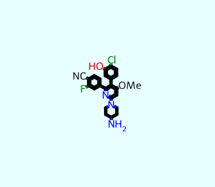 COc1cc(N2CCC(N)CC2)nc(-c2ccc(C#N)c(F)c2)c1-c1ccc(Cl)c(O)c1